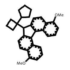 COc1cccc2c3c(ccc12)C(C1(C2CCCC2)CCC1)c1ccc2c(OC)cccc2c1-3